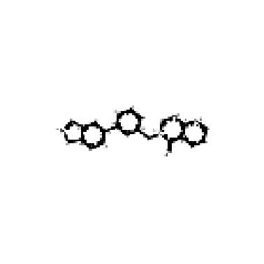 O=c1c2cccnc2ncn1Cc1cccc(-c2ccc3c(c2)C=NC3)c1